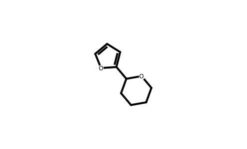 c1coc(C2CCCCO2)c1